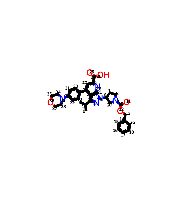 CC(C)c1nn(C2CCN(C(=O)OCc3ccccc3)C2)c2nc(C(=O)O)cc(-c3ccc(N4CCOCC4)cc3)c12